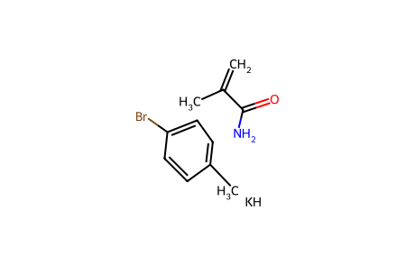 C=C(C)C(N)=O.Cc1ccc(Br)cc1.[KH]